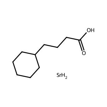 O=C(O)CCCC1CCCCC1.[SrH2]